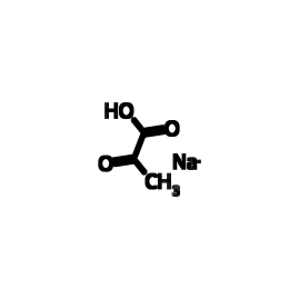 CC(=O)C(=O)O.[Na]